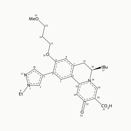 CCn1cc(-c2cc3c(cc2OCCCOC)C[C@@H](C(C)(C)C)n2cc(C(=O)O)c(=O)cc2-3)cn1